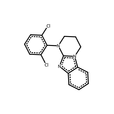 Clc1cccc(Cl)c1N1CCCn2c1nc1ccc[c]c12